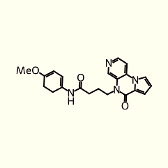 COC1=CC=C(NC(=O)CCCn2c(=O)c3cccn3c3ccncc32)CC1